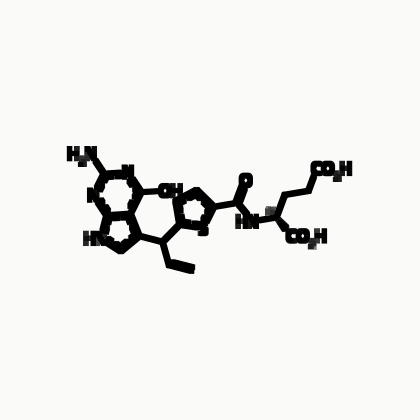 C=CC(c1ccc(C(=O)N[C@@H](CCC(=O)O)C(=O)O)s1)c1c[nH]c2nc(N)nc(O)c12